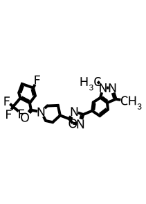 Cc1nn(C)c2cc(-c3noc(C4CCN(C(=O)c5cc(F)ccc5C(F)(F)F)CC4)n3)ccc12